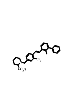 Cc1c(/C=C/c2ccc(CN3CCCCC3C(=O)O)cc2C(F)(F)F)cccc1-c1ccccc1